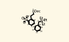 CCCCCCCCCCCCc1ccccc1S(=O)(=O)[O-].CC[N+](CC)(CC)Cc1ccccc1